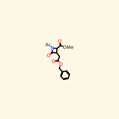 COC(=O)C1C(CC(=O)OCc2ccccc2)C(=O)N1C(C)=O